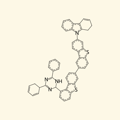 C1=CCC(C2=NC(c3cccc4sc5cc(-c6ccc7sc8cc(-n9c%10c(c%11ccccc%119)C=CCC%10)ccc8c7c6)ccc5c34)NC(c3ccccc3)=N2)C=C1